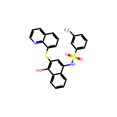 O=S(=O)(Nc1cc(Sc2cccc3cccnc23)c(O)c2ccccc12)c1cccc(C(F)(F)F)c1